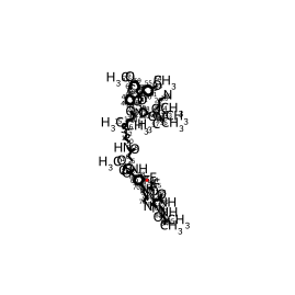 COC(=O)[C@H](CCC(=O)NCCSSC(C)(C)CCC(=O)N1C[C@H](OP(OCCC#N)N(C(C)C)C(C)C)C[C@H]1COC(c1ccccc1)(c1ccc(OC)cc1)c1ccc(OC)cc1)NC(=O)c1ccc(N(Cc2cnc3nc(NC(=O)C(C)C)[nH]c(=O)c3n2)C(=O)C(F)(F)F)cc1